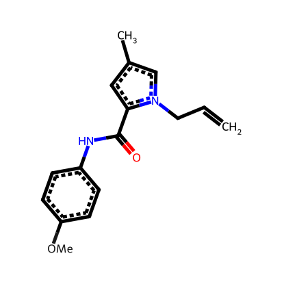 C=CCn1cc(C)cc1C(=O)Nc1ccc(OC)cc1